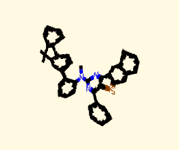 CN(c1nc(-c2ccccc2)c2sc3cc4ccccc4cc3c2n1)c1ccccc1-c1ccc2c(c1)C(C)(C)c1ccccc1-2